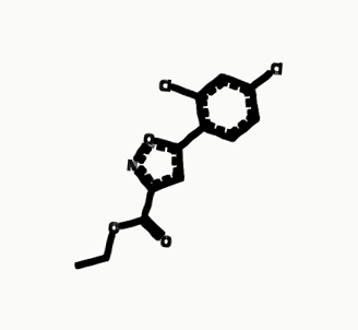 CCOC(=O)c1cc(-c2ccc(Cl)cc2Cl)on1